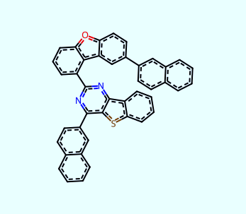 c1ccc2cc(-c3ccc4oc5cccc(-c6nc(-c7ccc8ccccc8c7)c7sc8ccccc8c7n6)c5c4c3)ccc2c1